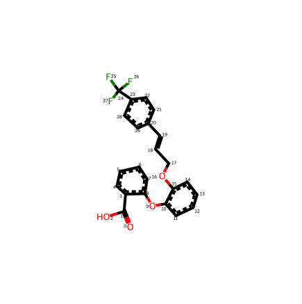 O=C(O)c1ccccc1Oc1ccccc1OC/C=C/c1ccc(C(F)(F)F)cc1